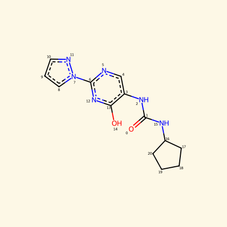 O=C(Nc1cnc(-n2cccn2)nc1O)NC1CCCC1